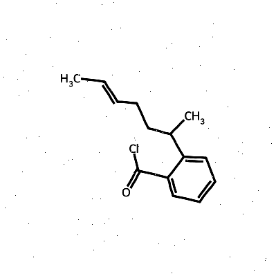 CC=CCCC(C)c1ccccc1C(=O)Cl